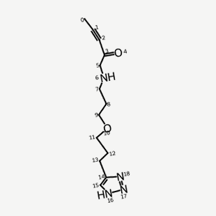 CC#CC(=O)CNCCCOCCCc1c[nH]nn1